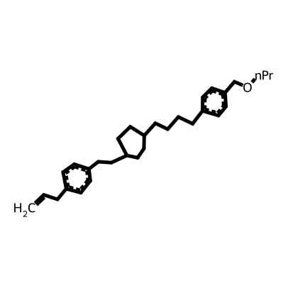 C=CCc1ccc(CCC2CCC(CCCCc3ccc(COCCC)cc3)CC2)cc1